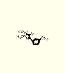 COc1cccc(-c2nn(C)c(C(=O)O)c2Br)c1